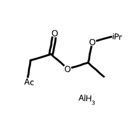 CC(=O)CC(=O)OC(C)OC(C)C.[AlH3]